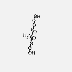 N[C@@H](CCC(=O)OCCOCCOCCO)C(=O)OCCOCCOCCO